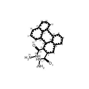 NNC(=O)c1cc2cccc3c4cccc5cccc(c(c1C(=O)NN)c23)c54